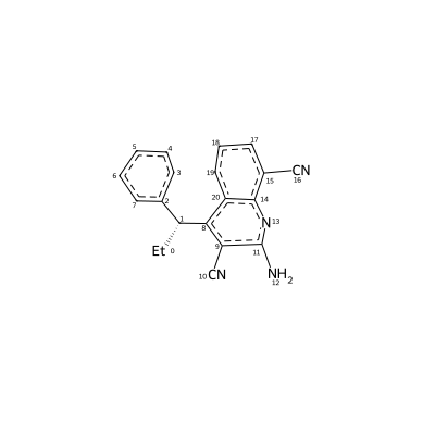 CC[C@H](c1ccccc1)c1c(C#N)c(N)nc2c(C#N)cccc12